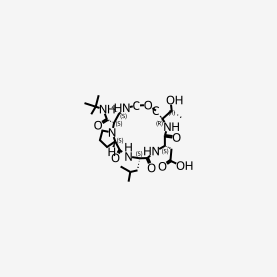 CC(C)C[C@@H]1NC(=O)[C@@H]2CCCN2[C@H](C(=O)NC(C)(C)C)[C@H](C)NCOC[C@H]([C@@H](C)O)NC(=O)[C@H](CC(=O)O)NC1=O